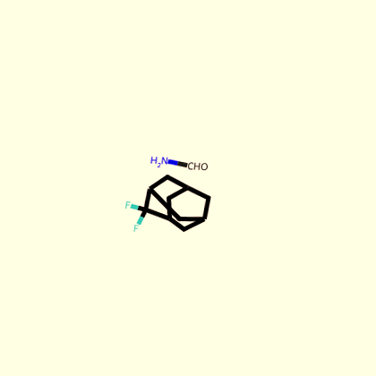 FC1(F)C2CC3CC(C2)CC1C3.NC=O